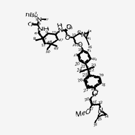 CCCCN(C)C(=O)NCC1(C)CC(NC(=O)OC(COc2ccc(C(C)(C)c3ccc(OCC(CN4CC4C)OC)cc3)cc2)CN2CC2C)CC(C)(C)C1